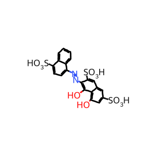 O=S(=O)(O)c1cc(O)c2c(O)c(N=Nc3ccc(S(=O)(=O)O)c4ccccc34)c(S(=O)(=O)O)cc2c1